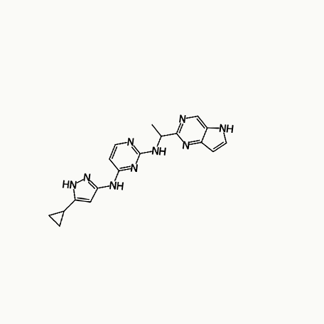 CC(Nc1nccc(Nc2cc(C3CC3)[nH]n2)n1)c1ncc2[nH]ccc2n1